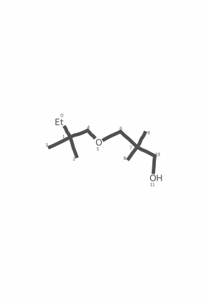 CCC(C)(C)COCC(C)(C)CO